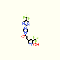 O=C(C=Cc1cnc(O)c(C(F)(F)F)c1)N1CCN(c2ncc(C(F)(F)F)cn2)CC1